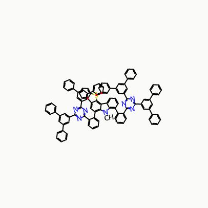 Cn1c2c(-c3ccccc3-c3nc(-c4cc(-c5ccccc5)cc(-c5ccccc5)c4)nc(-c4cc(-c5ccccc5)cc(-c5ccccc5)c4)n3)cccc2c2c3sc4ccccc4c3cc(-c3ccccc3-c3nc(-c4cc(-c5ccccc5)cc(-c5ccccc5)c4)nc(-c4cc(-c5ccccc5)cc(-c5ccccc5)c4)n3)c21